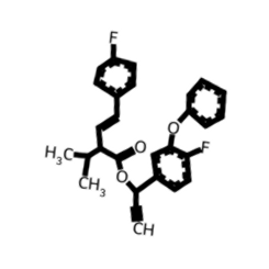 C#CC(OC(=O)C(C=Cc1ccc(F)cc1)C(C)C)c1ccc(F)c(Oc2ccccc2)c1